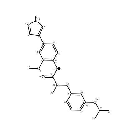 COc1cc(-c2cn[nH]c2)ccc1NC(=O)N(C)Cc1cccc(OC(C)C)c1